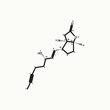 CC#CCC[C@H](O)/C=C/[C@H]1CC[C@@H]2OC(=O)C[C@@H]21